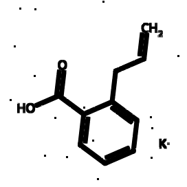 C=CCc1ccccc1C(=O)O.[K]